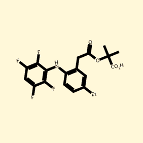 CCc1ccc(Nc2c(F)c(F)cc(F)c2F)c(CC(=O)OC(C)(C)C(=O)O)c1